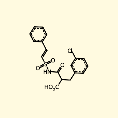 O=C(O)C(Cc1cccc(Cl)c1)C(=O)NS(=O)(=O)C=Cc1ccccc1